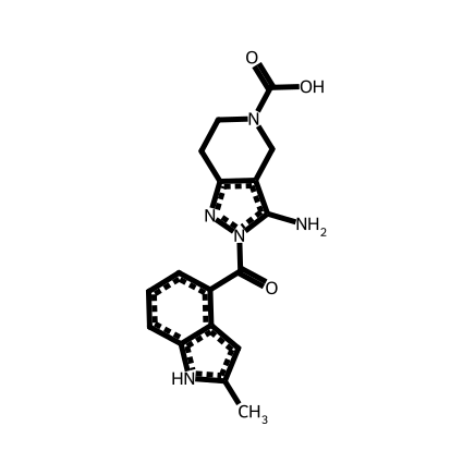 Cc1cc2c(C(=O)n3nc4c(c3N)CN(C(=O)O)CC4)cccc2[nH]1